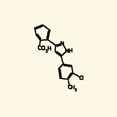 Cc1ccc(-c2cc(-c3ccccc3C(=O)O)n[nH]2)cc1Cl